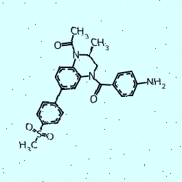 CC(=O)N1c2ccc(-c3ccc(S(C)(=O)=O)cc3)cc2N(C(=O)c2ccc(N)cc2)C[C@@H]1C